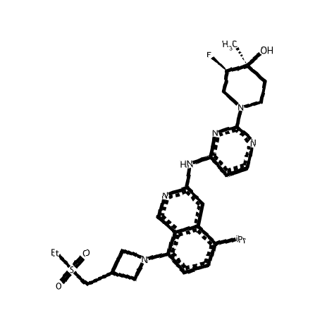 CCS(=O)(=O)CC1CN(c2ccc(C(C)C)c3cc(Nc4ccnc(N5CC[C@](C)(O)[C@H](F)C5)n4)ncc23)C1